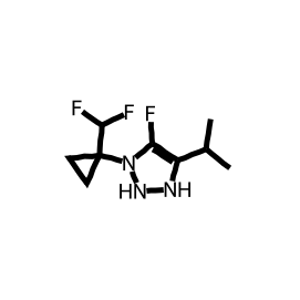 CC(C)C1=C(F)N(C2(C(F)F)CC2)NN1